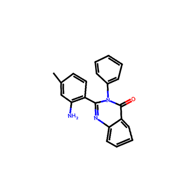 Cc1ccc(-c2nc3ccccc3c(=O)n2-c2ccccc2)c(N)c1